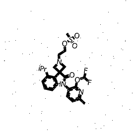 Cc1ccc(NC(=O)C2(c3ccccc3C(C)C)CN(CCOS(C)(=O)=O)C2)c(OC(F)F)n1